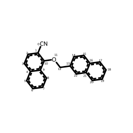 N#Cc1ccc2ccccc2c1OCc1ccc2ccccc2c1